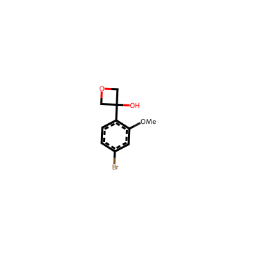 COc1cc(Br)ccc1C1(O)COC1